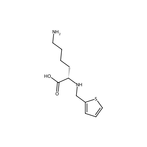 NCCCC[C@H](NCc1cccs1)C(=O)O